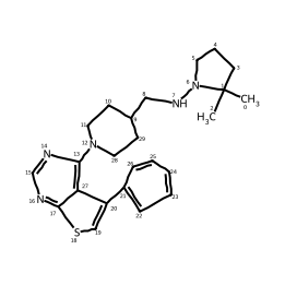 CC1(C)CCCN1NCC1CCN(c2ncnc3scc(-c4ccccc4)c23)CC1